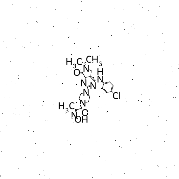 C/C(=N/O)C(=O)N1CCN(c2nc(Nc3ccc(Cl)cc3)c3c(n2)C(=O)N(C(C)C)C3)CC1